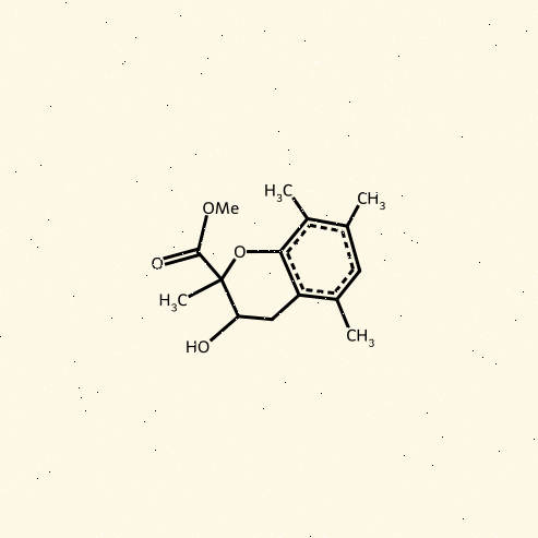 COC(=O)C1(C)Oc2c(C)c(C)cc(C)c2CC1O